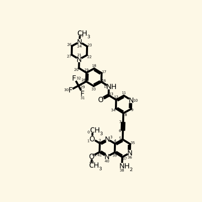 COc1nc2c(C#Cc3cncc(C(=O)Nc4ccc(CN5CCN(C)CC5)c(C(F)(F)F)c4)c3)cnc(N)c2nc1OC